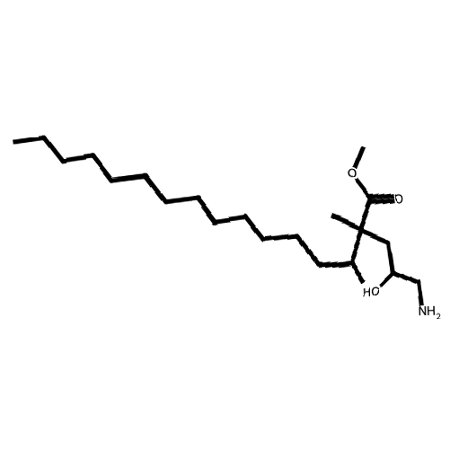 CCCCCCCCCCCCCC(C)C(C)(CC(O)CN)C(=O)OC